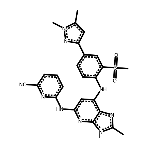 Cc1nc2c(Nc3ccc(-c4cc(C)n(C)n4)cc3S(C)(=O)=O)cc(Nc3cccc(C#N)n3)nc2[nH]1